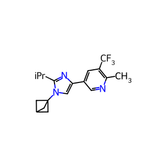 Cc1ncc(-c2cn(C34CC(C3)C4)c(C(C)C)n2)cc1C(F)(F)F